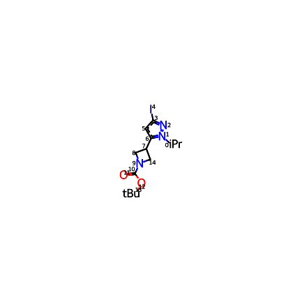 CC(C)n1nc(I)cc1C1CN(C(=O)OC(C)(C)C)C1